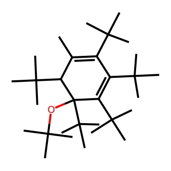 CC1=C(C(C)(C)C)C(C(C)(C)C)=C(C(C)(C)C)C(OC(C)(C)C)(C(C)(C)C)C1C(C)(C)C